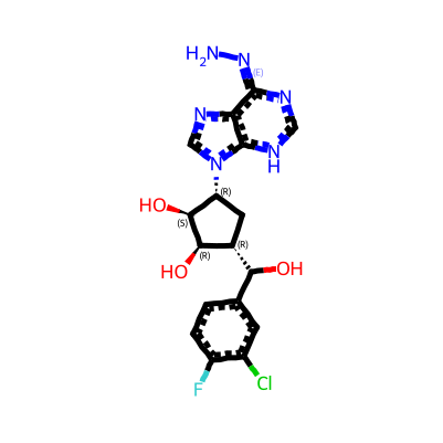 N/N=c1/nc[nH]c2c1ncn2[C@@H]1C[C@H](C(O)c2ccc(F)c(Cl)c2)[C@@H](O)[C@H]1O